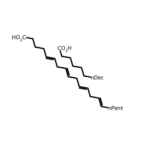 CCCCCC=CCC=CCC=CCC=CCCCC(=O)O.CCCCCCCCCCCCCCCC(=O)O